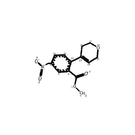 COC(=O)c1cc([N+](=O)[O-])ccc1C1=CCOCC1